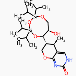 CC(C)[Si]1(C(C)C)OC[C@@H](O)C([C@H]2COc3nc(=O)[nH]cc3[C@@H]2C)O[Si](C(C)C)(C(C)C)O1